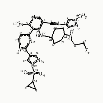 Cn1cc(C#Cc2cnc(N)c(-c3ccnc(-c4cnn(S(=O)(=O)C5CC5)c4)n3)c2NC2CCC(NCCF)CC2)cn1